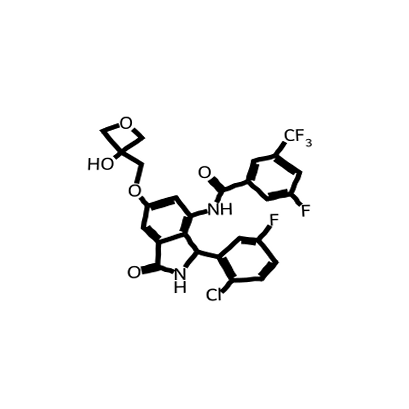 O=C(Nc1cc(OCC2(O)COC2)cc2c1C(c1cc(F)ccc1Cl)NC2=O)c1cc(F)cc(C(F)(F)F)c1